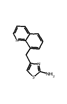 Nc1nc(Cc2cccc3cccnc23)cs1